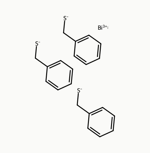 [Bi+3].[S-]Cc1ccccc1.[S-]Cc1ccccc1.[S-]Cc1ccccc1